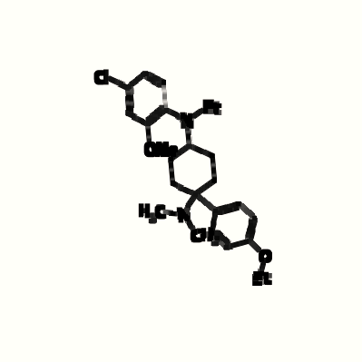 CCOc1ccc(C2(N(C)C)CCC(N(CC)c3ccc(Cl)cc3OC)CC2)cc1